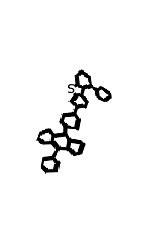 c1ccc(-c2c3ccccc3c(-c3ccc(-c4ccc5c(c4)sc4cccc(-c6ccccc6)c45)cc3)c3ccccc23)cc1